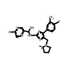 C[C@@H]1CCCN1Cc1sc(NC(O)c2cnc(Cl)cn2)nc1-c1ccc(F)c(C(F)(F)F)c1